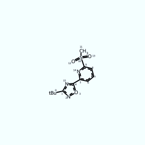 CC(C)(C)c1noc(-c2cccc(S(C)(=O)=O)n2)n1